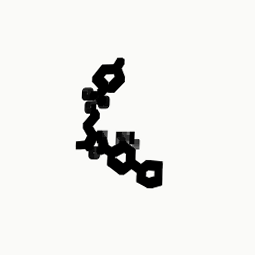 Cc1ccc(S(=O)(=O)OCCc2nc(-c3ccc(-c4ccccc4)cc3N)oc2C)cc1